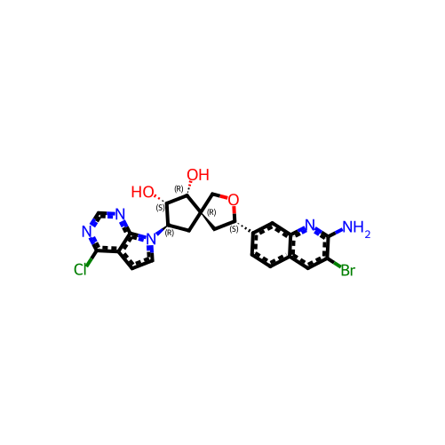 Nc1nc2cc([C@@H]3C[C@@]4(CO3)C[C@@H](n3ccc5c(Cl)ncnc53)[C@H](O)[C@@H]4O)ccc2cc1Br